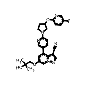 CC(C)(O)COc1cc(-c2ccc(N3CCC(Oc4ccc(F)cn4)C3)nc2)c2c(C#N)cnn2c1